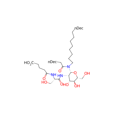 CCCCCCCCCCCCCCCCCCN(C(=O)CCCCCCCCCCC)[C@@H]1O[C@H](CO)[C@@H](O)[C@H](O)[C@@H]1NC(=O)[C@H](CO)NC(=O)CCCC(=O)O